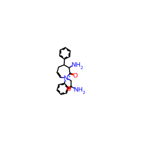 NC(=O)C[N+]1(c2ccccc2)C=CCC(c2ccccc2)C(N)C1=O